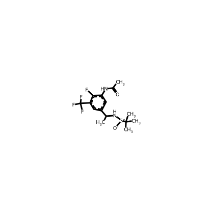 CC(=O)Nc1cc(C(C)N[S+]([O-])C(C)(C)C)cc(C(F)(F)F)c1F